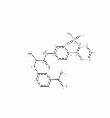 CC(C)C(Oc1cccc(C(=N)N)c1)C(=O)Nc1ccc(-c2ccccc2S(C)(=O)=O)cc1